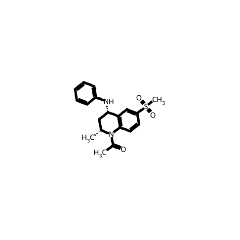 CC(=O)N1c2ccc(S(C)(=O)=O)cc2[C@@H](Nc2ccccc2)C[C@H]1C